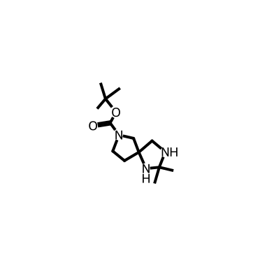 CC1(C)NCC2(CCN(C(=O)OC(C)(C)C)C2)N1